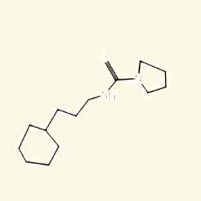 O=C(NCCCC1CCCCC1)N1CCCC1